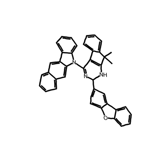 CC1(C)C2=C(C(n3c4ccccc4c4cc5ccccc5cc43)=NC(c3ccc4oc5ccccc5c4c3)N2)c2ccccc21